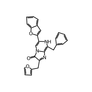 O=c1c(Cc2ccco2)nc2c(Cc3ccccc3)[nH]c(-c3cc4ccccc4o3)cn1-2